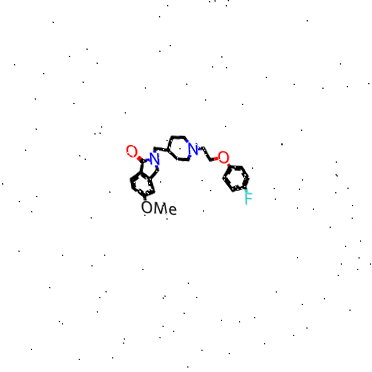 COc1ccc2c(c1)CN(CC1CCN(CCOc3ccc(F)cc3)CC1)C2=O